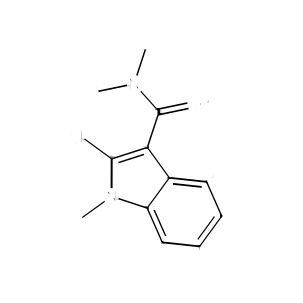 CN(C)C(=O)c1c(Cl)n(C)c2ccccc12